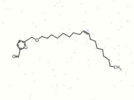 CCCCCCCC/C=C\CCCCCCCCOCc1ccc(C=O)o1